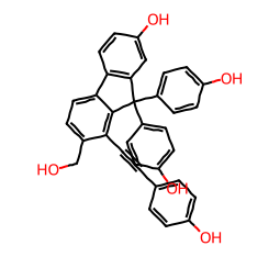 OCc1ccc2c(c1C#Cc1ccc(O)cc1)C(c1ccc(O)cc1)(c1ccc(O)cc1)c1cc(O)ccc1-2